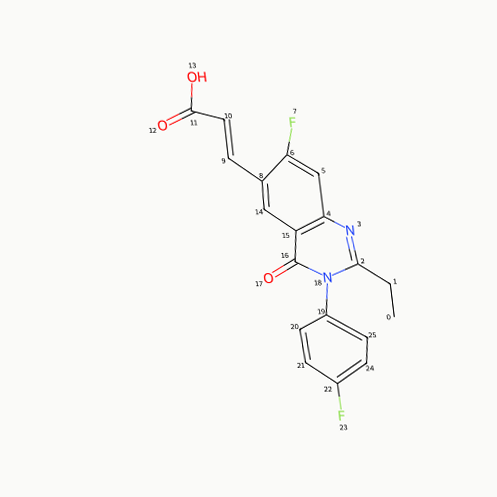 CCc1nc2cc(F)c(C=CC(=O)O)cc2c(=O)n1-c1ccc(F)cc1